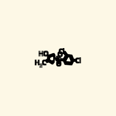 C=C1CN(S(=O)(=O)c2ccc(Cl)cc2Cl)C[C@H]1O